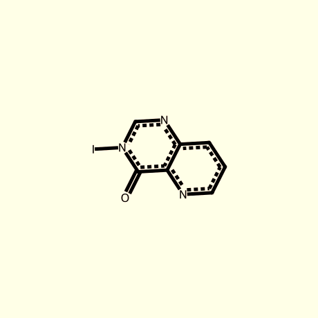 O=c1c2ncccc2ncn1I